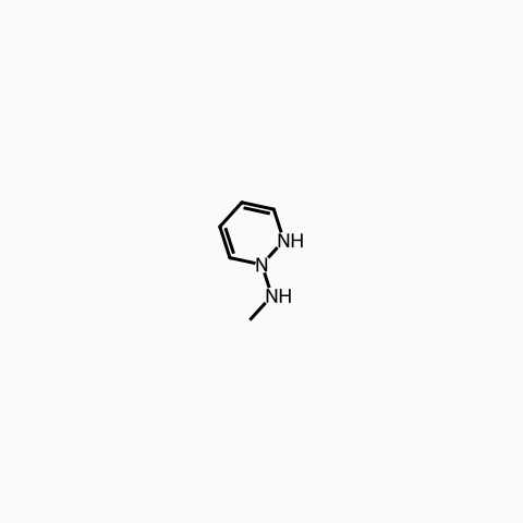 CNN1C=CC=CN1